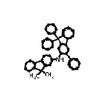 CC1(C)c2ccccc2-c2ccc(Nc3cc4c(cc3-c3ccccc3)-c3ccccc3C4(c3ccccc3)c3ccccc3)cc21